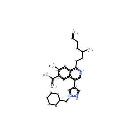 C=CCCC(C)CCc1ncc(-c2cnn(CC3CCCCC3)c2)c2cc(C(=C)N)c(C)cc12